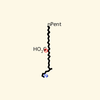 CCCCCC=CCC=CCCCCCCCC(CCCCCCCCC(C)CCC1CCCN1C)OC(=O)O